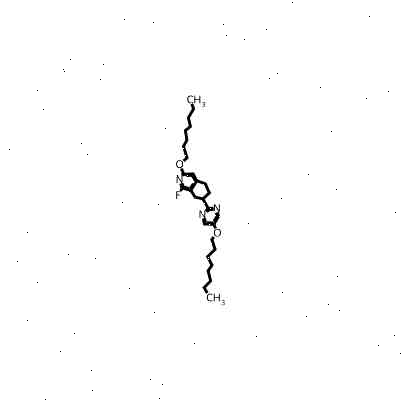 CCCCCCCCOc1cnc(C2CCc3cc(OCCCCCCCC)nc(F)c3C2)nc1